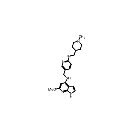 COc1cc(NCc2ccc(NCC3CCN(C)CC3)nc2)c2cc[nH]c2n1